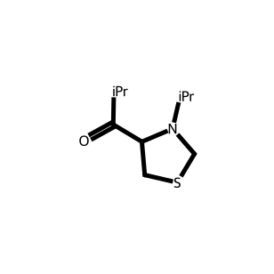 CC(C)C(=O)C1CSCN1C(C)C